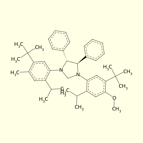 COc1cc(C(C)C)c(N2CN(c3cc(C(C)(C)C)c(C)cc3C(C)C)[C@H](c3ccccc3)[C@H]2c2ccccc2)cc1C(C)(C)C